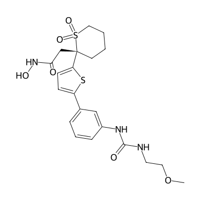 COCCNC(=O)Nc1cccc(-c2ccc([C@@]3(CC(=O)NO)CCCCS3(=O)=O)s2)c1